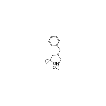 OC1(CN(Cc2ccccc2)CC2CO2)CC1